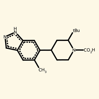 Cc1cc2cn[nH]c2cc1C1CCN(C(=O)O)C(C(C)(C)C)C1